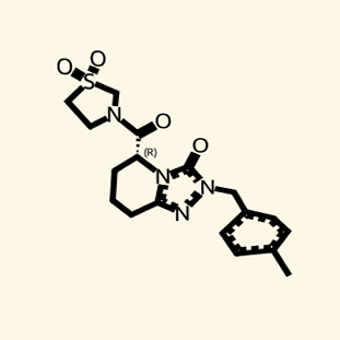 Cc1ccc(Cn2nc3n(c2=O)[C@@H](C(=O)N2CCS(=O)(=O)C2)CCC3)cc1